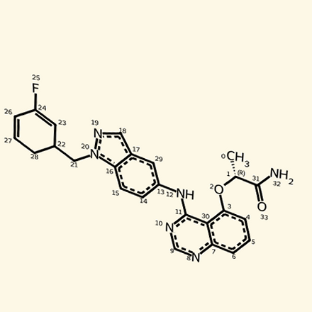 C[C@@H](Oc1cccc2ncnc(Nc3ccc4c(cnn4CC4C=C(F)C=CC4)c3)c12)C(N)=O